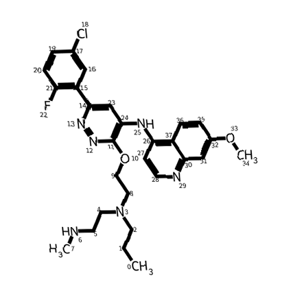 CCCN(CCNC)CCOc1nnc(-c2cc(Cl)ccc2F)cc1Nc1ccnc2cc(OC)ccc12